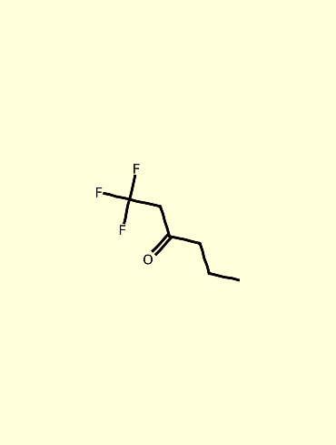 CCCC(=O)CC(F)(F)F